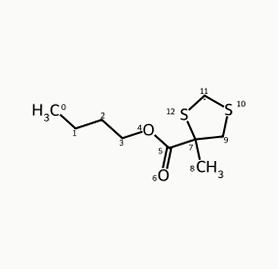 CCCCOC(=O)C1(C)CS[CH]S1